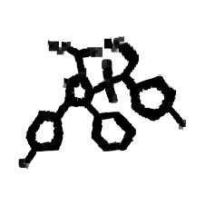 C=CC(c1ccc(F)cc1)S(=O)(=O)c1c(C2=CCCC=C2)c(-c2ccc(Cl)cc2)nn1C(=N)N